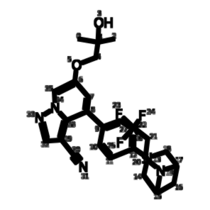 CC(C)(O)COc1cc(-c2ccc(N3CC4CC(C3)N4SCC(F)(F)F)nc2)c2c(C#N)cnn2c1